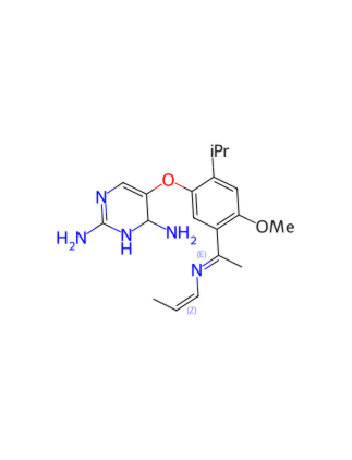 C/C=C\N=C(/C)c1cc(OC2=CN=C(N)NC2N)c(C(C)C)cc1OC